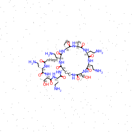 CCCCCCCC(=O)N[C@@H](CCN)C(=O)N[C@H](C(=O)N[C@@H](CCN)C(=O)N[C@H]1CCNC(=O)[C@H]([C@@H](C)O)NC(=O)[C@H](CCN)NC(=O)[C@H](CCN)NC(=O)[C@H](CCC)NC(=O)[C@@H](CC(C)C)NC(=O)[C@H](CCN)NC1=O)[C@@H](C)O